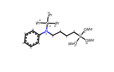 CO[Si](CCCCN(c1ccccc1)[Si](C(C)C)(C(C)C)C(C)C)(OC)OC